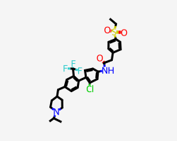 CCS(=O)(=O)c1ccc(CC(=O)Nc2ccc(-c3ccc(CC4CCN(C(C)C)CC4)cc3C(F)(F)F)c(Cl)c2)cc1